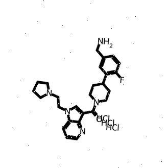 Cl.Cl.Cl.NCc1ccc(F)c(C2CCN(C(=O)c3cn(CCN4CCCC4)c4cccnc34)CC2)c1